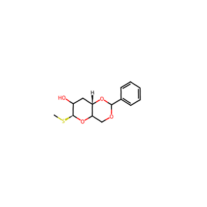 CS[C@@H]1OC2COC(c3ccccc3)O[C@H]2CC1O